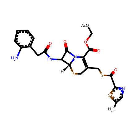 CC(=O)OCOC(=O)C1=C(CSC(=O)c2ncc(C)s2)CS[C@@H]2C(NC(=O)Cc3ccccc3N)C(=O)N12